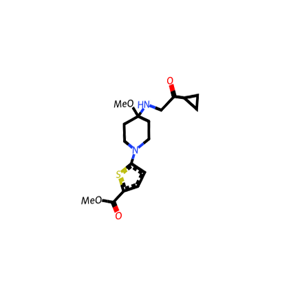 COC(=O)c1ccc(N2CCC(NCC(=O)C3CC3)(OC)CC2)s1